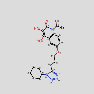 CCC(=O)n1c(=O)c(O)c(O)c2cc(OCCCc3nnnn3C3CCCCC3)ccc21